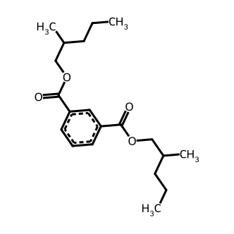 CCCC(C)COC(=O)c1cccc(C(=O)OCC(C)CCC)c1